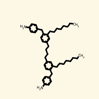 CCCCCCCCc1cc(CCCCc2ccc(Cc3ccc(N)cc3)c(CCCCCCCC)c2)ccc1Cc1ccc(N)cc1